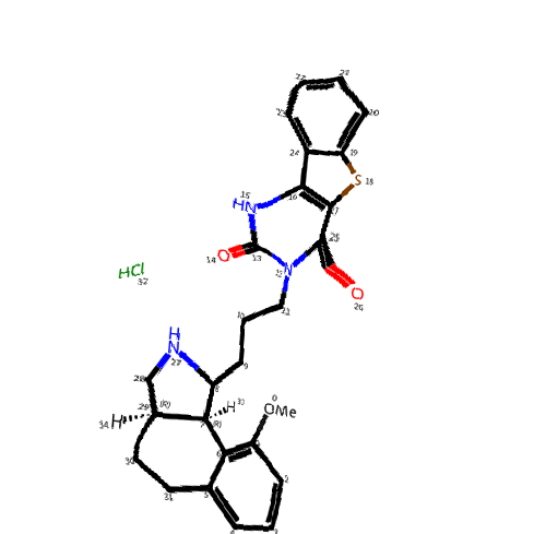 COc1cccc2c1[C@@H]1C(CCCn3c(=O)[nH]c4c(sc5ccccc54)c3=O)NC[C@@H]1CC2.Cl